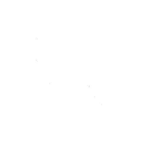 COCCNCc1ccc(-c2cc3nccc(Oc4ccc(NC(=O)n5ccn(-c6ccc(F)cc6)c5=S)cc4F)c3s2)nc1